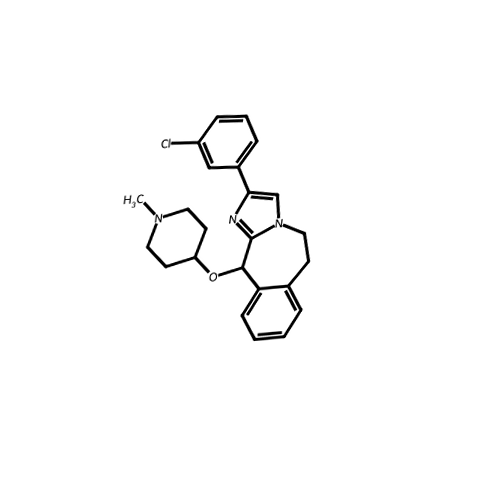 CN1CCC(OC2c3ccccc3CCn3cc(-c4cccc(Cl)c4)nc32)CC1